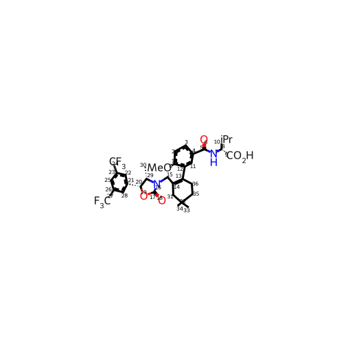 COc1ccc(C(=O)N[C@@H](C(=O)O)C(C)C)cc1C1=C(CN2C(=O)O[C@H](c3cc(C(F)(F)F)cc(C(F)(F)F)c3)[C@@H]2C)CC(C)(C)CC1